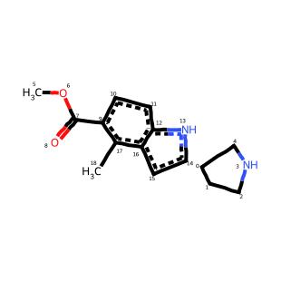 C1CCNC1.COC(=O)c1ccc2[nH]ccc2c1C